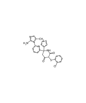 Cc1cnc(N)n1-c1cccc(C2(c3ccsc3)CC(=O)C(Sc3ccccc3Cl)C(=O)N2)n1